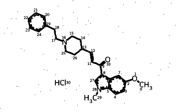 COc1ccc2c(c1)c(C(=O)C=CC1CCN(CCc3ccccc3)CC1)cn2C.Cl